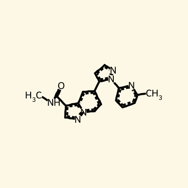 CNC(=O)c1cnn2ccc(-c3ccnn3-c3cccc(C)n3)cc12